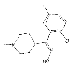 Cc1ccc(Cl)c(C(=NO)C2CCN(C)CC2)c1